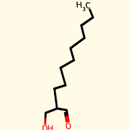 CCCCCCCCCC(C=O)CO